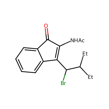 CCC(CC)C(Br)C1=C(NC(C)=O)C(=O)c2ccccc21